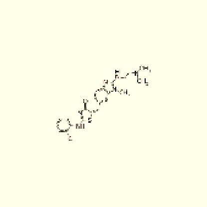 CN(C)CCNc1nc2ccc(C=C3SC(Nc4ccccc4Cl)=NC3=O)cc2n1C